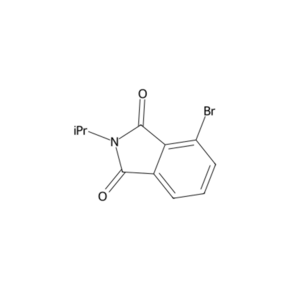 CC(C)N1C(=O)c2cccc(Br)c2C1=O